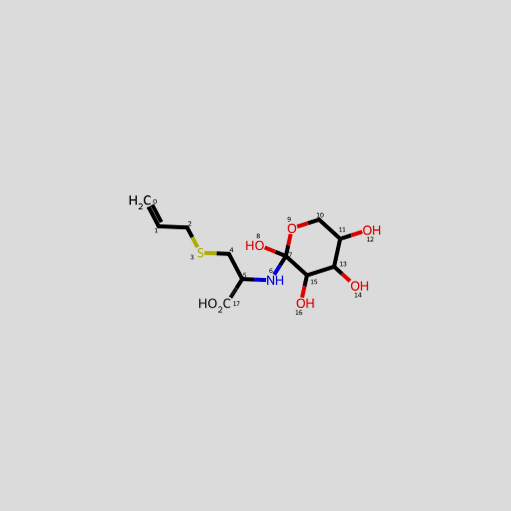 C=CCSCC(NC1(O)OCC(O)C(O)C1O)C(=O)O